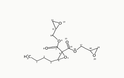 CCCCC1OC1(C(=O)OCC1CO1)C(=O)OCC1CO1